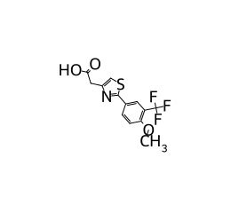 COc1ccc(-c2nc(CC(=O)O)cs2)cc1C(F)(F)F